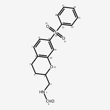 O=CNCC1CCc2ccc(S(=O)(=O)c3ccccc3)cc2O1